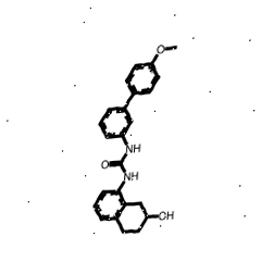 COc1ccc(-c2cccc(NC(=O)Nc3cccc4c3CC(O)CC4)c2)cc1